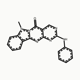 Cn1c2ccccc2c2nc3nc(Nc4ccccc4)ncc3c(=O)n21